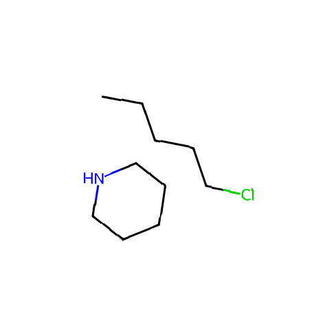 C1CCNCC1.CCCCCCl